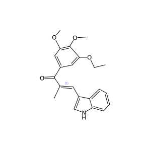 CCOc1cc(C(=O)/C(C)=C/c2c[nH]c3ccccc23)cc(OC)c1OC